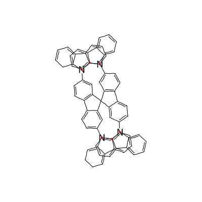 C1=CCC2C(=C1)C1C=CC=CC1N2c1ccc2c(c1)C1(c3cc(-n4c5c(c6ccccc64)=CCCC=5)ccc3-2)c2cc(-n3c4ccccc4c4ccccc43)ccc2-c2ccc(-n3c4ccccc4c4ccccc43)cc21